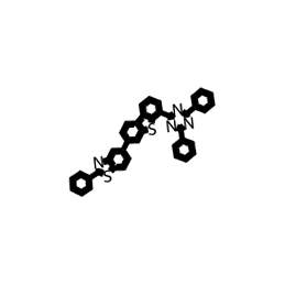 c1ccc(-c2nc(-c3ccccc3)nc(-c3cccc4c3sc3cc(-c5ccc6sc(-c7ccccc7)nc6c5)ccc34)n2)cc1